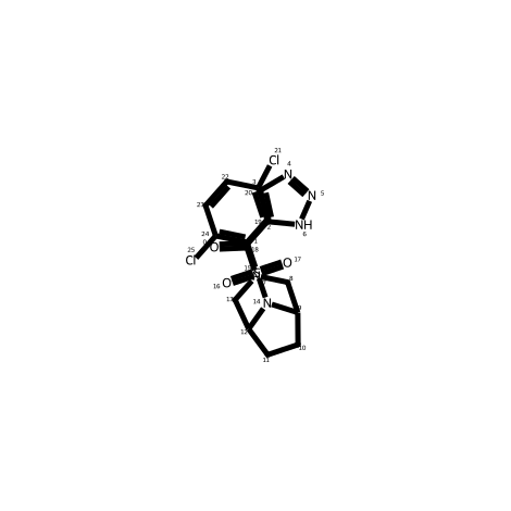 O=C(c1cnn[nH]1)N1CC2CCC(C1)N2S(=O)(=O)c1cc(Cl)ccc1Cl